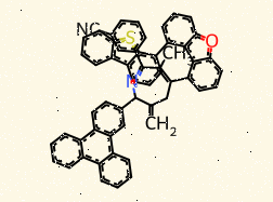 C=C1CC(c2cccc3oc4cccc(-c5cccc6c5sc5ccccc56)c4c23)=C(C)C(c2cccc(C#N)c2)=NC1c1ccc2c3ccccc3c3ccccc3c2c1